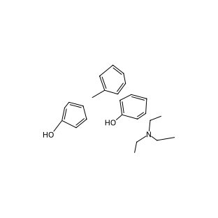 CCN(CC)CC.Cc1ccccc1.Oc1ccccc1.Oc1ccccc1